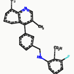 Cc1cnc2c(C(F)(F)F)cccc2c1-c1cccc(CNc2cccc(F)c2C(=O)O)c1